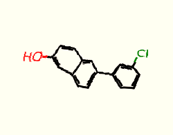 Oc1ccc2cc(-c3cccc(Cl)c3)ccc2c1